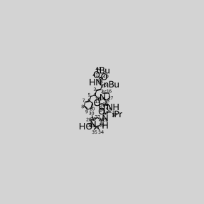 CCCC[C@@H](/C=C/[C@H](Cc1ccccc1)C(=O)N1CCC[C@H]1C(=O)N[C@@H](C(=O)NC1CC(C)(C)N(O)C(C)(C)C1)C(C)C)NC(=O)OC(C)(C)C